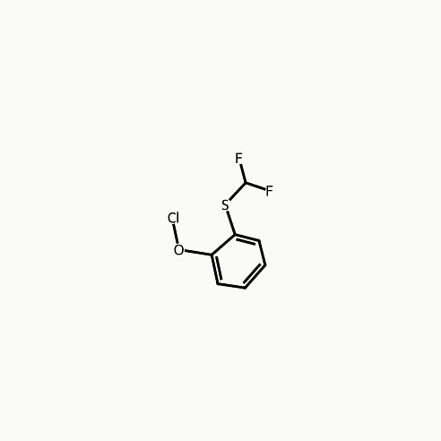 FC(F)Sc1ccccc1OCl